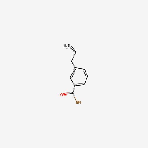 C=CCc1cccc(C(=O)S)c1